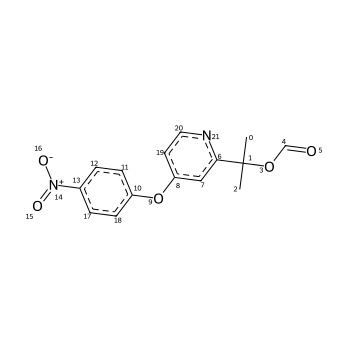 CC(C)(OC=O)c1cc(Oc2ccc([N+](=O)[O-])cc2)ccn1